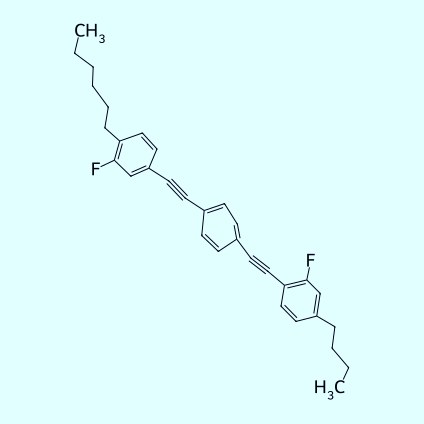 CCCCCCc1ccc(C#Cc2ccc(C#Cc3ccc(CCCC)cc3F)cc2)cc1F